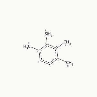 Cc1ccc(C)c([SiH3])c1C